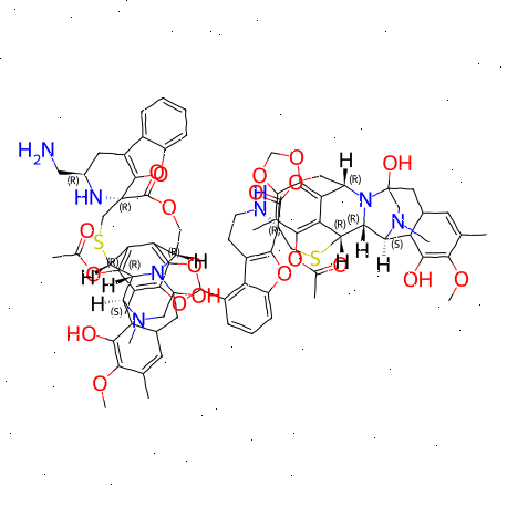 COC1=C(O)C2C(C=C1C)CC1(O)CN(C)[C@@H]2[C@@H]2[C@@H]3SC[C@]4(NCCc5c4oc4cccc(C6Oc7c(C)c(OC(C)=O)c8c(c7O6)[C@@H]6COC(=O)[C@]7(CS[C@H]8[C@H]8[C@@H]9C%10C(O)=C(OC)C(C)=CC%10CC(O)(CN9C)N86)N[C@@H](CN)Cc6c7oc7ccccc67)c54)C(=O)OC[C@@H](c4c5c(c(C)c(OC(C)=O)c43)OCO5)N21